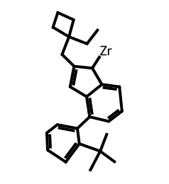 CCC1(CC2=Cc3c(-c4ccccc4C(C)(C)C)cccc3[CH]2[Zr])CCC1